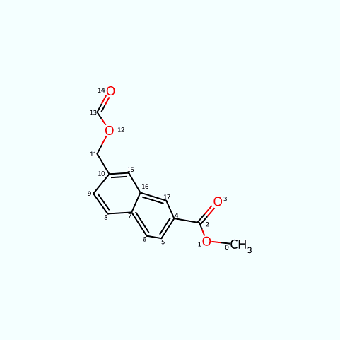 COC(=O)c1ccc2ccc(COC=O)cc2c1